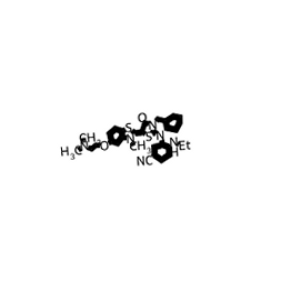 CCNc1ccc(C#N)cc1N=C1SC(=C2Sc3ccc(OCCN(C)C)cc3N2C)C(=O)N1Cc1ccccc1